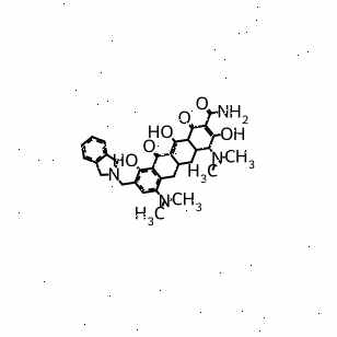 CN(C)c1cc(CN2Cc3ccccc3C2)c(O)c2c1CC1CC3C(C(=O)C(C(N)=O)=C(O)[C@H]3N(C)C)C(O)=C1C2=O